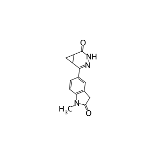 CN1C(=O)Cc2cc(C3=NNC(=O)C4CC34)ccc21